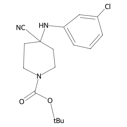 CC(C)(C)OC(=O)N1CCC(C#N)(Nc2cccc(Cl)c2)CC1